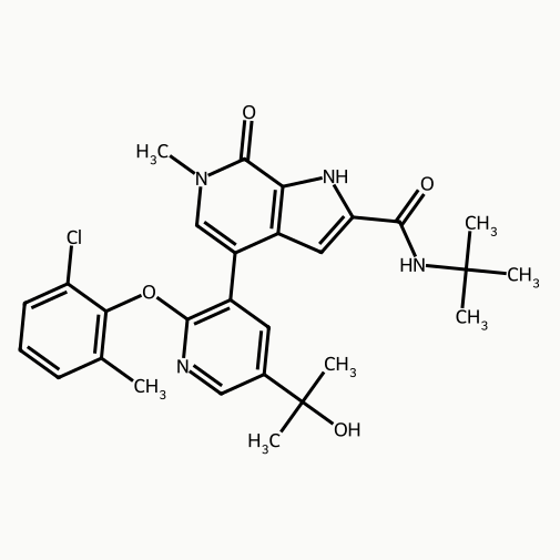 Cc1cccc(Cl)c1Oc1ncc(C(C)(C)O)cc1-c1cn(C)c(=O)c2[nH]c(C(=O)NC(C)(C)C)cc12